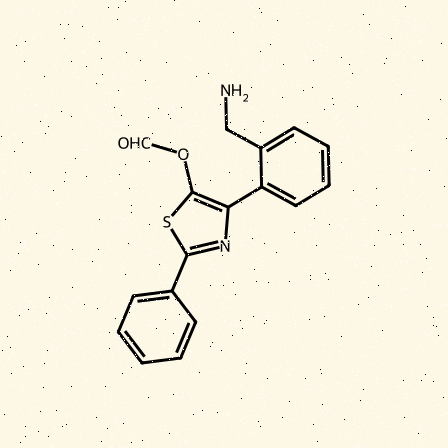 NCc1ccccc1-c1nc(-c2ccccc2)sc1OC=O